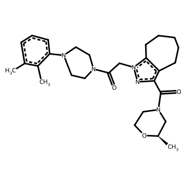 Cc1cccc(N2CCN(C(=O)Cn3nc(C(=O)N4CCO[C@H](C)C4)c4c3CCCCC4)CC2)c1C